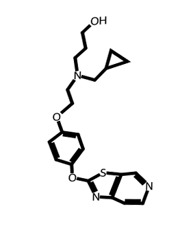 OCCCN(CCOc1ccc(Oc2nc3ccncc3s2)cc1)CC1CC1